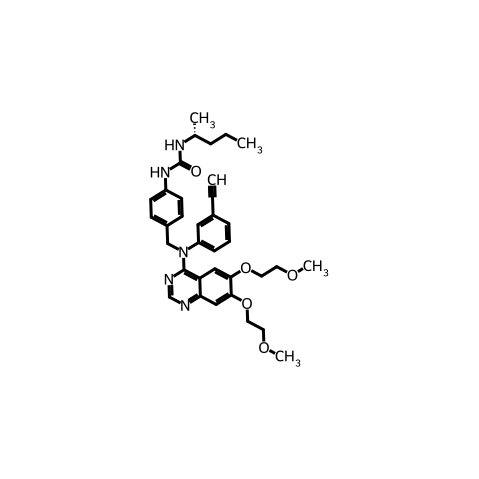 C#Cc1cccc(N(Cc2ccc(NC(=O)N[C@H](C)CCC)cc2)c2ncnc3cc(OCCOC)c(OCCOC)cc23)c1